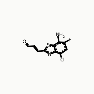 Nc1c(F)cc(Cl)c2nc(C=C[C]=O)sc12